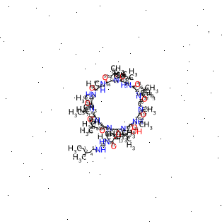 CCC(C)CCNCCNC(=O)CCC[C@@H](C)[C@@H](O)[C@H]1C(=O)N[C@@H](CC)C(=O)N(C)CC(=O)N(C)[C@@H](CC(C)C)C(=O)N[C@@H](C(C)C)C(=O)N(C)[C@@H](CC(C)C)C(=O)N[C@@H](C)C(=O)N[C@H](C)C(=O)N(C)[C@@H](CC(C)C)C(=O)N(C)[C@@H](CC(C)C)C(=O)N(C)[C@@H](C(C)C)C(=O)N1C